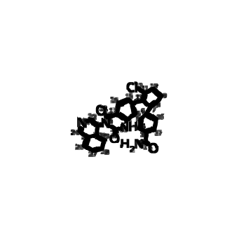 NC(=O)c1ccc(-c2cccc(Cl)c2-c2ccc3c(=O)n(-c4cncc5ccccc45)c(=O)[nH]c3c2)cc1